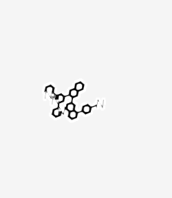 N#Cc1ccc(-c2cccc3ccc(-c4cc5ccccc5cc4-c4cc(-c5ccccn5)nc(-c5ccccn5)c4)cc23)cc1